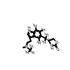 [2H]c1c(C([2H])([2H])[C@H]2COC(=O)N2)c([2H])c2c(CCN(C)C([2H])([2H])[2H])c[nH]c2c1[2H]